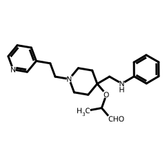 CC(C=O)OC1(CNc2ccccc2)CCN(CCc2cccnc2)CC1